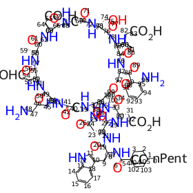 CCCCCC12CCC(C(=O)N[C@@H](Cc3c[nH]c4ccccc34)C(=O)N[C@H](CC(N)=O)C(=O)N[C@@H](CC(=O)O)C(=O)N[C@@H]3C(=O)NCC(=O)N[C@@H](CCCN)C(=O)N[C@@H](CC=O)C(=O)N[C@H](C)C(=O)N[C@@H](CC(=O)O)C(=O)NCC(=O)N[C@H](CO)C(=O)N[C@@H]([C@H](C)CC(=O)O)C(=O)NC(C(=O)c4ccccc4N)C(=O)O[C@@H]3C)(CC1)CC2